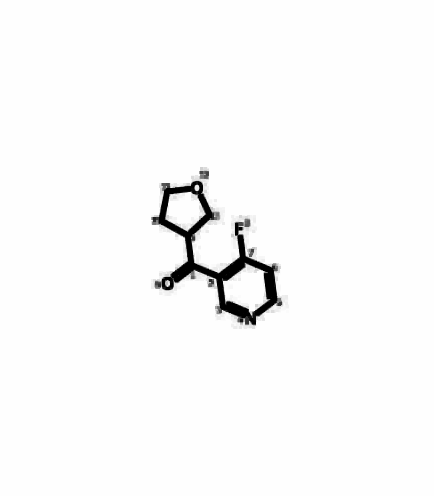 O=C(c1cnccc1F)C1CCOC1